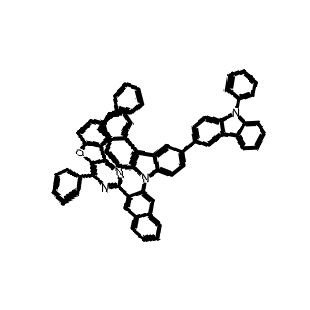 c1ccc(-c2ccc3oc4c(-c5ccccc5)nc(-c5cc6ccccc6cc5-n5c6ccc(-c7ccc8c(c7)c7ccccc7n8-c7ccccc7)cc6c6c7ccccc7ccc65)nc4c3c2)cc1